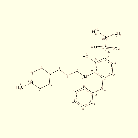 CN1CCN(CCCN2c3ccccc3Sc3ccc(S(=O)(=O)N(C)C)c(O)c32)CC1